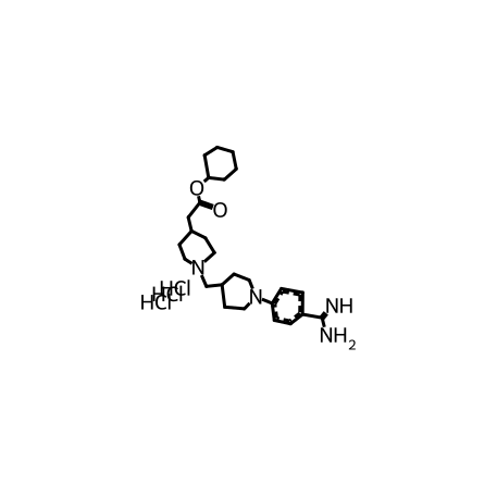 Cl.Cl.Cl.N=C(N)c1ccc(N2CCC(CN3CCC(CC(=O)OC4CCCCC4)CC3)CC2)cc1